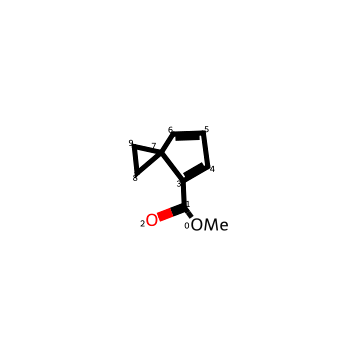 COC(=O)C1=CC=CC12CC2